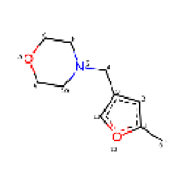 [CH2]c1cc(CN2CCOCC2)co1